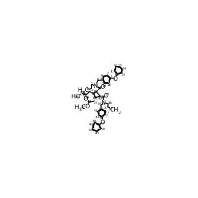 CCCN(Cc1ccc(Oc2ccccc2)cc1)C(=O)[C@@H]1[C@H](CC=NO)[C@@H](CC(=O)OC)[C@H]1C(=O)N(CCC)Cc1ccc(Oc2ccccc2)cc1